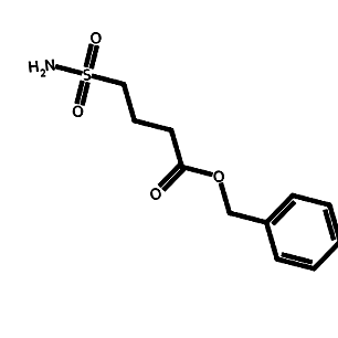 NS(=O)(=O)CCCC(=O)OCc1ccccc1